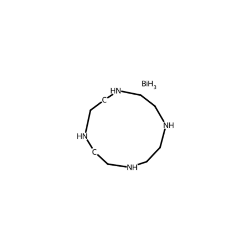 C1CNCCNCCNCCN1.[BiH3]